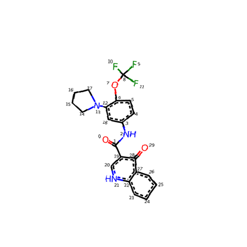 O=C(Nc1ccc(OC(F)(F)F)c(N2CCCC2)c1)c1c[nH]c2ccccc2c1=O